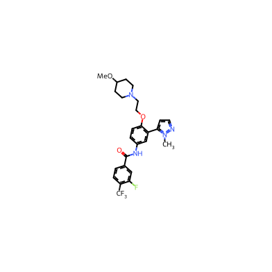 COC1CCN(CCOc2ccc(NC(=O)c3ccc(C(F)(F)F)c(F)c3)cc2-c2ccnn2C)CC1